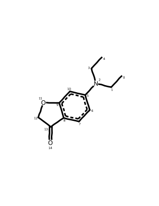 CCN(CC)c1ccc2c(c1)OCC2=O